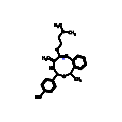 C=C1NC(c2ccc(O)cc2)OC(C)c2ccccc2/N=C\1OCCN(C)C